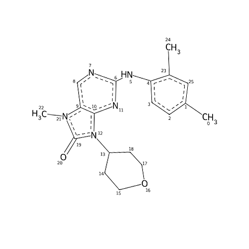 Cc1ccc(Nc2ncc3c(n2)n(C2CCOCC2)c(=O)n3C)c(C)c1